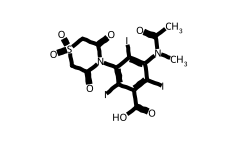 CC(=O)N(C)c1c(I)c(C(=O)O)c(I)c(N2C(=O)CS(=O)(=O)CC2=O)c1I